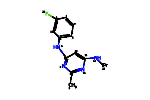 Cc1nc(Nc2cccc(F)c2)cc(NC(C)C)n1